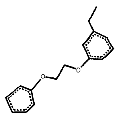 CCc1cccc(OCCOc2ccccc2)c1